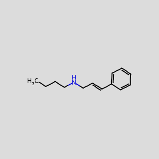 CCCCNCC=Cc1ccccc1